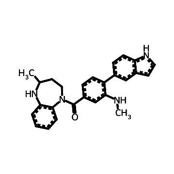 CNc1cc(C(=O)N2CCC(C)Nc3ccccc32)ccc1-c1ccc2[nH]ccc2c1